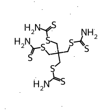 NC(=S)SCC(CSC(N)=S)(CSC(N)=S)CSC(N)=S